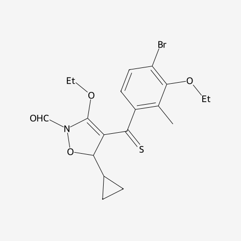 CCOC1=C(C(=S)c2ccc(Br)c(OCC)c2C)C(C2CC2)ON1C=O